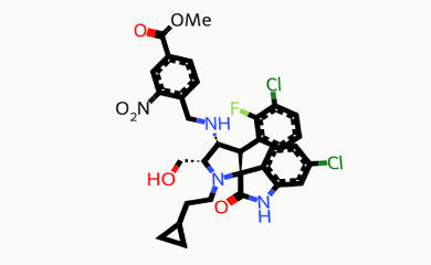 COC(=O)c1ccc(CN[C@@H]2C(c3cccc(Cl)c3F)[C@@]3(C(=O)Nc4cc(Cl)ccc43)N(CCC3CC3)[C@@H]2CO)c([N+](=O)[O-])c1